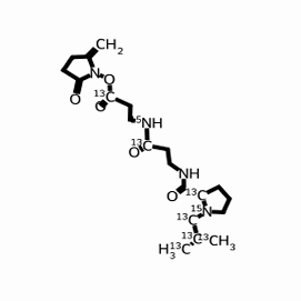 C=C1CCC(=O)N1O[13C](=O)CC[15NH][13C](=O)CCNC(=O)[13CH]1CCC[15N]1[13CH2][13CH]([13CH3])[13CH3]